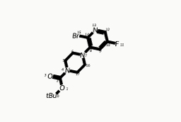 CC(C)(C)OC(=O)N1CCN(c2cc(F)cnc2Br)CC1